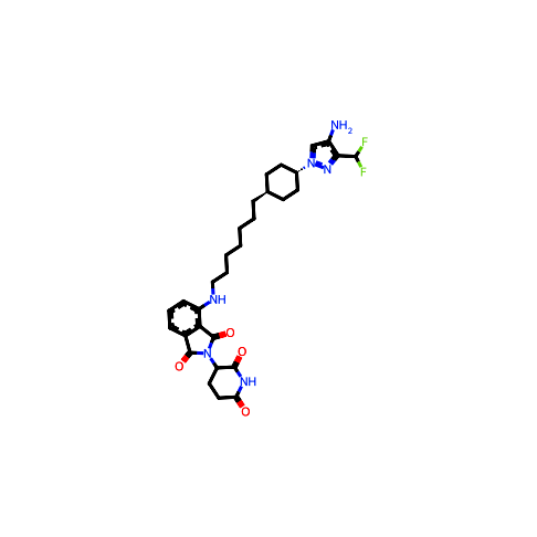 Nc1cn([C@H]2CC[C@H](CCCCCCCNc3cccc4c3C(=O)N(C3CCC(=O)NC3=O)C4=O)CC2)nc1C(F)F